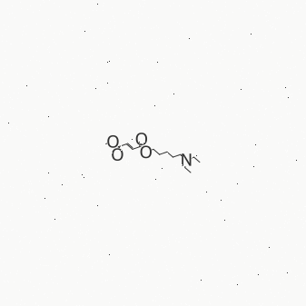 CCN(CC)CCCCCOC(=O)/C=C/C(=O)OC